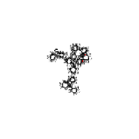 c1ccc(-n2c3ccccc3c3cc(-c4ccc(N(c5ccc(-c6ccc7sc8ccccc8c7c6)cc5)c5cccc(C6(c7ccccc7)c7ccccc7-c7ccccc7-c7ccccc76)c5)cc4)ccc32)cc1